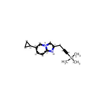 C[Si](C)(C)C#CCc1cn2cc(C3CC3)ccc2n1